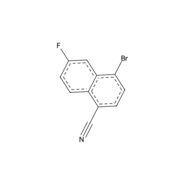 N#Cc1ccc(Br)c2cc(F)ccc12